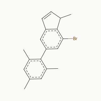 Cc1cc(C)c(-c2cc(Br)c3c(c2)C=CC3C)c(C)c1